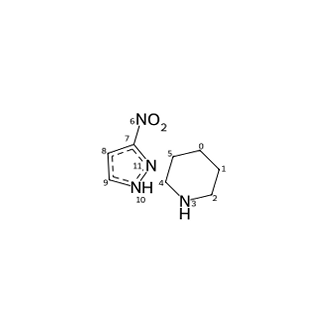 C1CCNCC1.O=[N+]([O-])c1cc[nH]n1